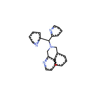 c1ccc(CN(Cc2ccccn2)C(c2ccccn2)c2ccccn2)cc1